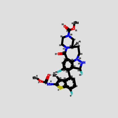 CC(C)(C)OC(=O)Nc1sc2c(F)ccc(-c3c(F)cc4c5c3C(F)NN5CC[C@@H]3CN(C(=O)OC(C)(C)C)CCN3C4=O)c2c1C#N